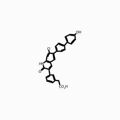 O=C(O)Cc1cccc(-c2cc3cc(-c4ccc(-c5ccc(O)cc5)cc4)c(Cl)cc3[nH]c2=O)c1